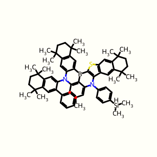 Cc1cc2c3c(c1)N(c1ccc([SiH](C)C)cc1)c1c(sc4cc5c(cc14)C(C)(C)CCC5(C)C)B3c1cc3c(cc1N2c1cc2c(cc1-c1ccccc1)C(C)(C)CCC2(C)C)C(C)(C)CCC3(C)C